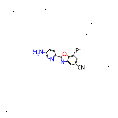 CC(C)c1cc(C#N)cc2nc(-c3ccc(N)cn3)oc12